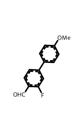 COc1ccc(-c2ccc(C=O)c(F)c2)cc1